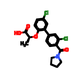 C[C@H](Oc1ccc(Cl)cc1-c1ccc(C(=O)N2CCCC2)c(Cl)c1)C(=O)O